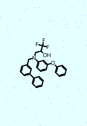 OC(CN(Cc1cccc(-c2ccccc2)c1)c1cccc(Oc2ccccc2)c1)C(F)(F)F